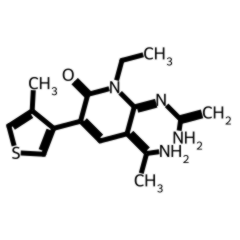 C=C(N)/N=C1\C(=C(\C)N)C=C(c2cscc2C)C(=O)N1CC